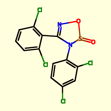 O=S1ON=C(c2c(Cl)cccc2Cl)N1c1ccc(Cl)cc1Cl